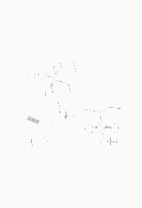 C#CCN(CCC(CC)S(=O)(=O)O)CCC(CC)S(=O)(=O)O.O